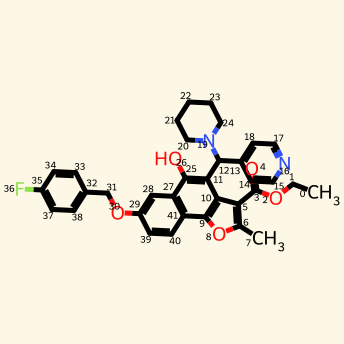 CCOC(=O)c1c(C)oc2c1c(C(c1ccncc1)N1CCCCC1)c(O)c1cc(OCc3ccc(F)cc3)ccc12